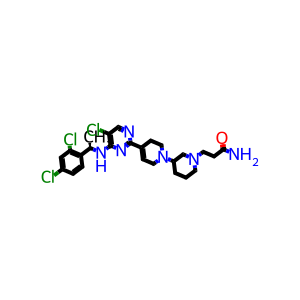 C[C@@H](Nc1nc(C2=CCN(C3CCCN(CCC(N)=O)C3)CC2)ncc1Cl)c1ccc(Cl)cc1Cl